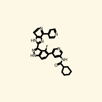 O=C(Nc1cncc(-c2ccc3[nH]nc(-c4nc5c(-c6ccncc6)nccc5[nH]4)c3c2F)c1)C1CCCCC1